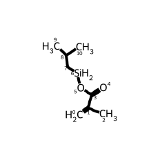 C=C(C)C(=O)O[SiH2]CC(C)C